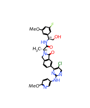 COc1cc(F)cc([C@@H](CO)NC(=O)[C@@H](C)N2Cc3ccc(-c4nc(Nc5ccc(OC)nc5)ncc4Cl)cc3C2=O)c1